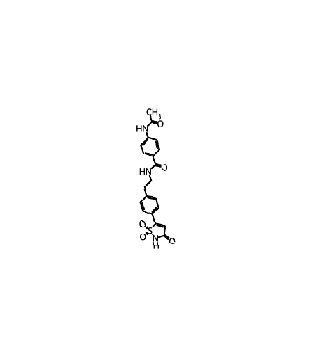 CC(=O)Nc1ccc(C(=O)NCCc2ccc(C3=CC(=O)NS3(=O)=O)cc2)cc1